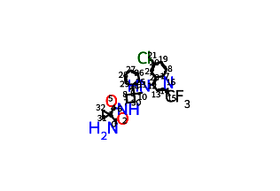 NC(=O)C1(C(=O)NC2CC(CNc3cc(C(F)(F)F)nc4ccc(Cl)cc34)(c3ccccc3)C2)CC1